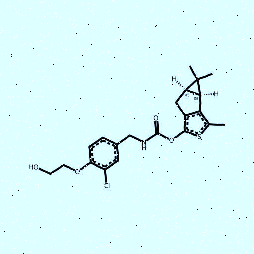 Cc1sc(OC(=O)NCc2ccc(OCCO)c(Cl)c2)c2c1[C@H]1[C@@H](C2)C1(C)C